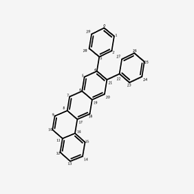 c1ccc(-c2cc3cc4ccc5ccccc5c4cc3cc2-c2ccccc2)cc1